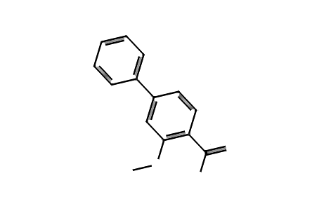 COc1cc(-c2ccccc2)ccc1C(=O)O